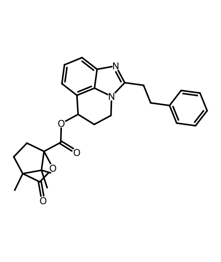 CC12CCC(C(=O)OC3CCn4c(CCc5ccccc5)nc5cccc3c54)(OC1=O)C2(C)C